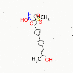 CC(/C=C/c1ccc(-c2ccc(CCC(C)(C(=O)NO)S(C)(=O)=O)cc2)cc1)CO